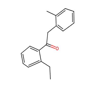 CCc1ccccc1C(=O)Cc1ccccc1C